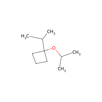 CC(C)OC1(C(C)C)CCC1